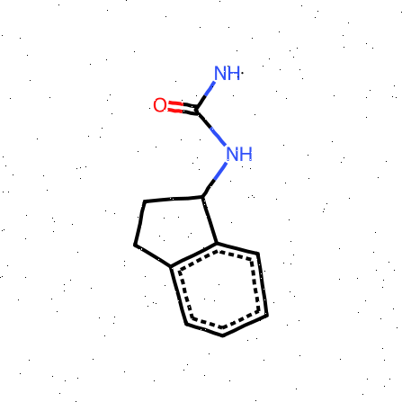 [NH]C(=O)NC1CCc2ccccc21